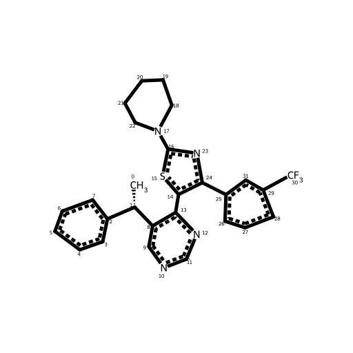 C[C@@H](c1ccccc1)c1cn[c]nc1-c1sc(N2CCCCC2)nc1-c1cccc(C(F)(F)F)c1